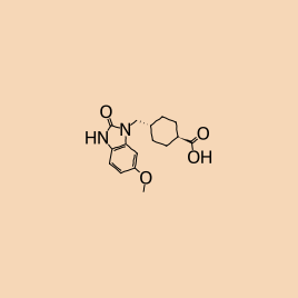 COc1ccc2[nH]c(=O)n(C[C@H]3CC[C@H](C(=O)O)CC3)c2c1